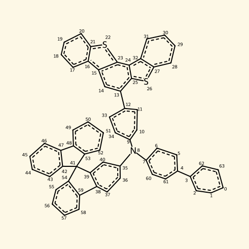 c1ccc(-c2ccc(N(c3ccc(-c4cc5c6ccccc6sc5c5c4sc4ccccc45)cc3)c3ccc4c(c3)C3(c5ccccc5-c5ccccc53)c3ccccc3-4)cc2)cc1